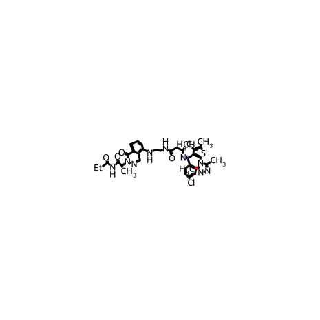 CCC(=O)NC(=O)C(C)n1ncc2c(NCCNC(=O)CC(C)/N=C(/c3ccc(Cl)cc3)c3c(-n4c(C)nnc4C)sc(C)c3C)cccc2c1=O